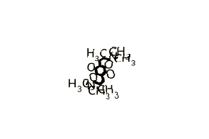 CC(CC1CC(=O)C(CC(C)C(=O)N(C)C)CC1=O)C(=O)N(C)C